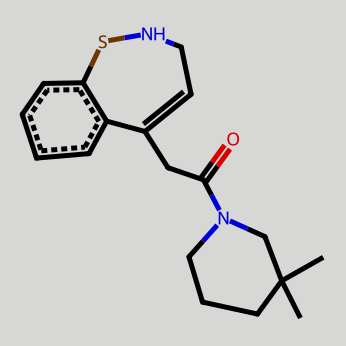 CC1(C)CCCN(C(=O)CC2=CCNSc3ccccc32)C1